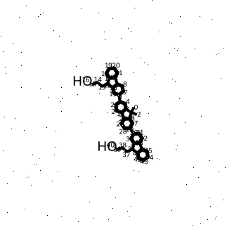 CC1(C)c2cc(-c3ccc4c(c3)C(CCCO)c3ccccc3-4)ccc2-c2ccc(-c3ccc4c(c3)C(CCCO)c3ccccc3-4)cc21